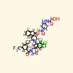 Cl.O=C(CO)NC1CCN(C(=O)CO[C@H]2Cc3ccccc3C23CCN(CC[C@]2(c4ccc(Cl)c(Cl)c4)CN(C(=O)c4cc(C(F)(F)F)cc(C(F)(F)F)c4)CCO2)CC3)CC1